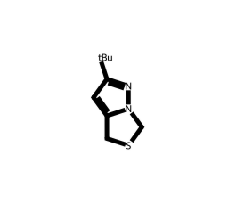 CC(C)(C)c1cc2n(n1)CSC2